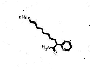 CCCCCCC=CCCCCCCC(C(N)=O)c1ccccn1